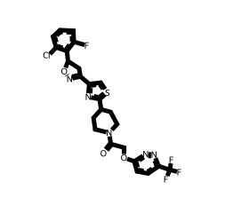 O=C(COc1ccc(C(F)(F)F)nn1)N1CCC(c2nc(C3=NOC(c4c(F)cccc4Cl)C3)cs2)CC1